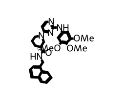 COc1cc(Nc2nccc(N3CCC[C@H](C(=O)NCc4cccc5ccccc45)C3)n2)cc(OC)c1OC